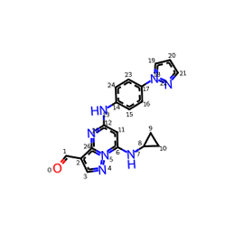 O=Cc1cnn2c(NC3CC3)cc(Nc3ccc(-n4cccn4)cc3)nc12